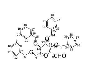 O=C[C@@H]1O[C@H](COCc2ccccc2)[C@@H](OCc2ccccc2)[C@H](OCc2ccccc2)[C@H]1OCc1ccccc1